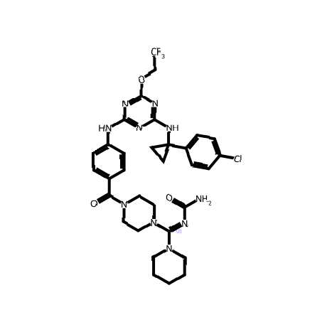 NC(=O)/N=C(/N1CCCCC1)N1CCN(C(=O)c2ccc(Nc3nc(NC4(c5ccc(Cl)cc5)CC4)nc(OCC(F)(F)F)n3)cc2)CC1